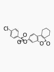 O=c1oc2cc(OS(=O)(=O)c3ccc(Cl)cc3)ccc2c2c1CCCC2